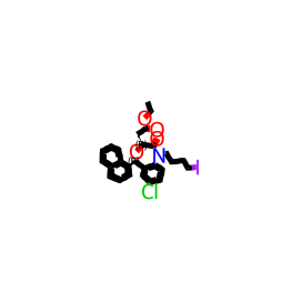 CCOC(=O)C[C@H]1O[C@H](c2cccc3ccccc23)c2cc(Cl)ccc2N(CCCCI)C1=O